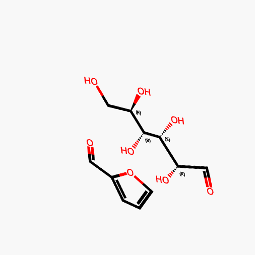 O=C[C@H](O)[C@@H](O)[C@H](O)[C@H](O)CO.O=Cc1ccco1